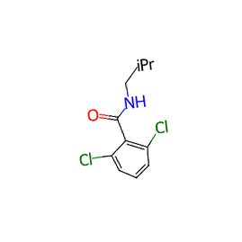 CC(C)CNC(=O)c1c(Cl)cccc1Cl